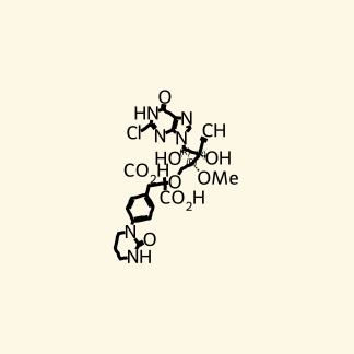 C#C[C@@](O)([C@@H](COC(Cc1ccc(N2CCCNC2=O)cc1)(C(=O)O)C(=O)O)OC)[C@@H](O)n1cnc2c(=O)[nH]c(Cl)nc21